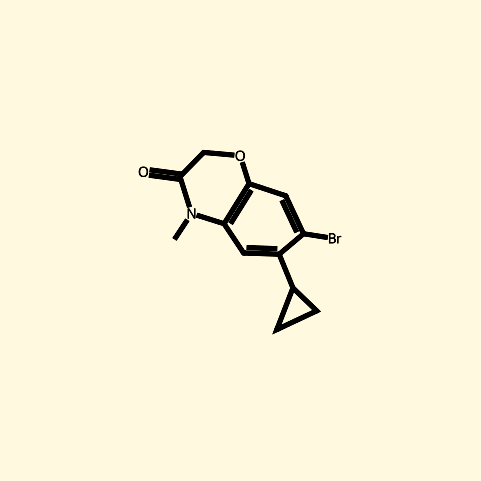 CN1C(=O)COc2cc(Br)c(C3CC3)cc21